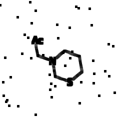 CC(=O)CN1CCCSC1